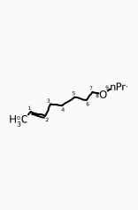 C/C=C/CCCCCO[CH]CC